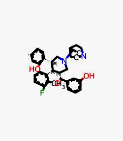 Cc1c(F)cccc1[C@H]1[C@@H](C(=O)c2cccc(O)c2)CN(C2CN3CCC2CC3)C[C@H]1c1cc[c]cc1O